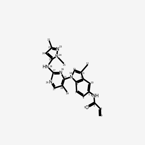 C=CC(=O)Nc1ccc2c(c1)c(C)cn2-c1nc(Nc2cc(C)nn2C)ncc1C